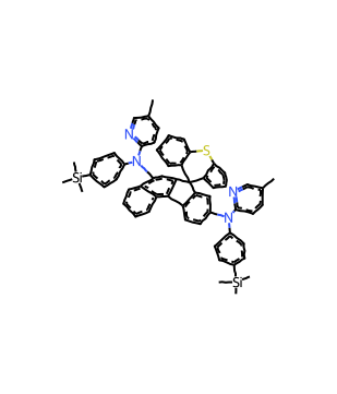 Cc1ccc(N(c2ccc([Si](C)(C)C)cc2)c2ccc3c(c2)C2(c4ccccc4Sc4ccccc42)c2cc(N(c4ccc([Si](C)(C)C)cc4)c4ccc(C)cn4)c4ccccc4c2-3)nc1